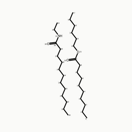 CCCCCCCCCC(=O)OCCCCCC.CCCCCCCCCCCC(=O)NCC